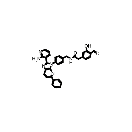 Nc1ncccc1-c1nc2ccc(-c3ccccc3)nc2n1-c1ccc(CNC(=O)Cc2ccc(C=O)c(O)c2)cc1